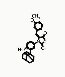 COc1cccc(C=C2C(=O)SC(=O)N2c2ccc(O)c(C34CC5CC(CC(C5)C3)C4)c2)c1